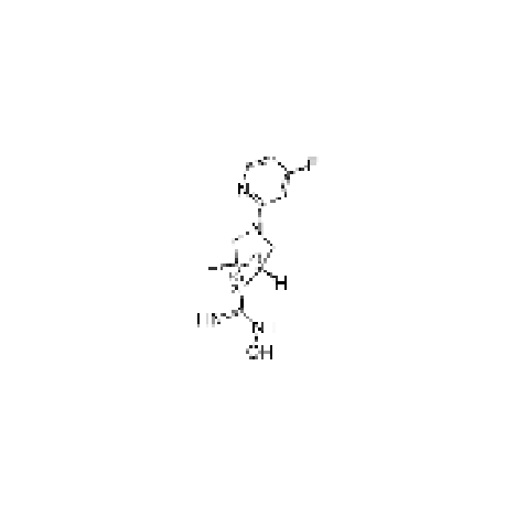 N=C(NO)[C@H]1[C@@H]2CN(c3cc(F)ccn3)C[C@@H]21